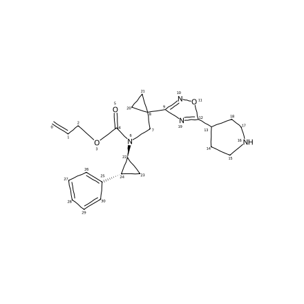 C=CCOC(=O)N(CC1(c2noc(C3CCNCC3)n2)CC1)[C@H]1C[C@@H]1c1ccccc1